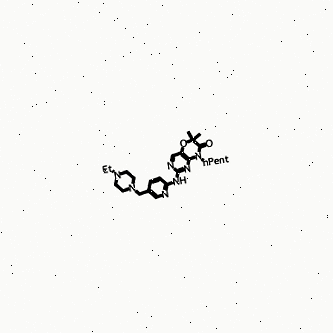 CCCCCN1C(=O)C(C)(C)Oc2cnc(Nc3ccc(CN4CCN(CC)CC4)cn3)nc21